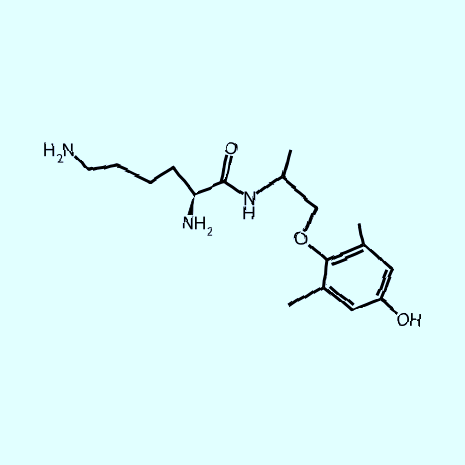 Cc1cc(O)cc(C)c1OCC(C)NC(=O)[C@@H](N)CCCCN